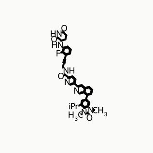 CC(C)c1cc(-c2cccc3cc(-c4ccc(C(=O)NCC#Cc5cccc(NC6CCC(=O)NC6=O)c5F)nc4)ncc23)cc2c1n(C)c(=O)n2C